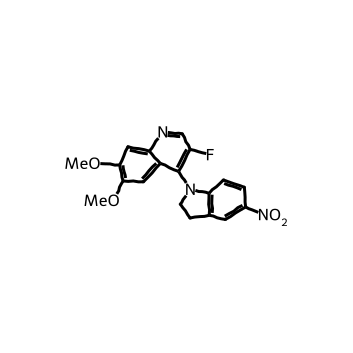 COc1cc2ncc(F)c(N3CCc4cc([N+](=O)[O-])ccc43)c2cc1OC